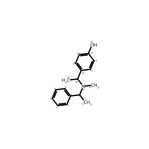 CC(c1ccccc1)N(C)C(C)c1ccc(O)cc1